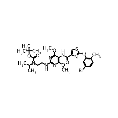 COc1nc(NCCN(C(=O)OC(C)(C)C)C(C)C)nc(OC)c1NC(=O)c1csc(Oc2cc(Br)ccc2C)n1